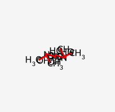 CC(O)CCCCCCCCC1(CCCCCCCCC(C)O)CCN1CCCCSSCCN1CCN(CCSSCCCCN2CCC2(CCCCCCCCC(C)O)CCCCCCCCC(C)O)CC1